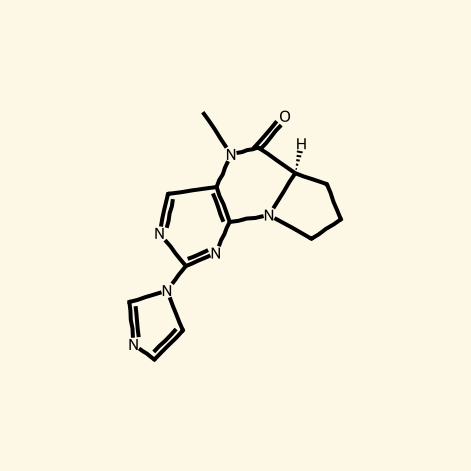 CN1C(=O)[C@H]2CCCN2c2nc(-n3ccnc3)ncc21